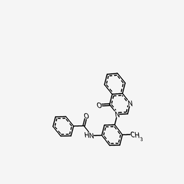 Cc1ccc(NC(=O)c2ccccc2)cc1-n1cnc2ccccc2c1=O